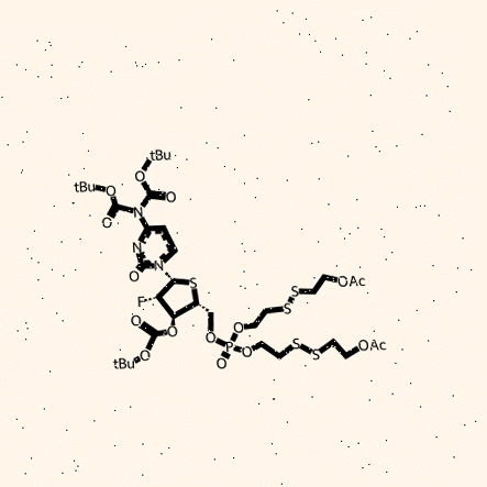 CC(=O)OCCSSCCOP(=O)(OCCSSCCOC(C)=O)OC[C@H]1S[C@@H](n2ccc(N(C(=O)OC(C)(C)C)C(=O)OC(C)(C)C)nc2=O)[C@@H](F)[C@@H]1OC(=O)OC(C)(C)C